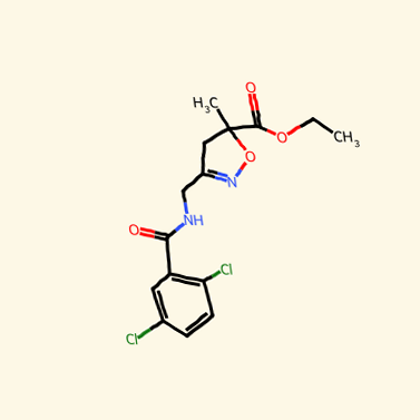 CCOC(=O)C1(C)CC(CNC(=O)c2cc(Cl)ccc2Cl)=NO1